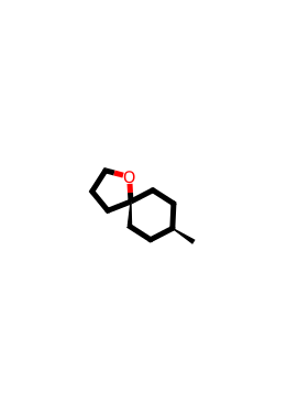 C[C@H]1CC[C@]2(CCCO2)CC1